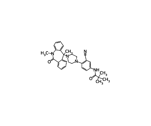 CN1C(=O)c2ccccc2C(C)(N2CCN(c3ccc(NC(=O)C(C)(C)C)cc3C#N)CC2)c2ccccc21